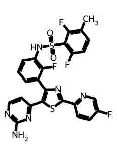 Cc1ccc(F)c(S(=O)(=O)Nc2cccc(-c3nc(-c4ccc(F)cn4)sc3-c3ccnc(N)n3)c2F)c1F